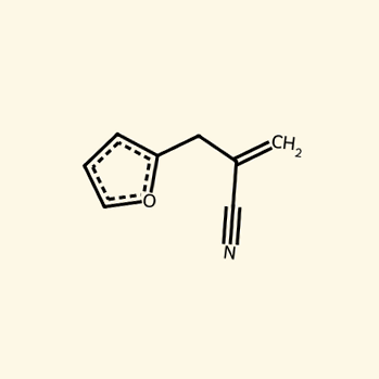 C=C(C#N)Cc1ccco1